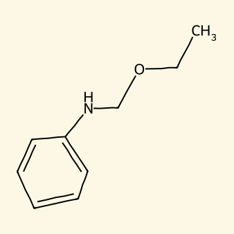 CCOCNc1ccccc1